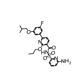 CCCOc1nc(-c2cc(F)cc(OCC(C)C)c2)ccc1C(=O)NS(=O)(=O)c1cccc(N)n1